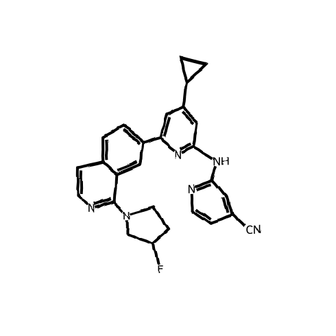 N#Cc1ccnc(Nc2cc(C3CC3)cc(-c3ccc4ccnc(N5CCC(F)C5)c4c3)n2)c1